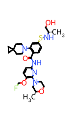 C[C@@H]1CN(c2nc(NC(=O)c3ccc(SN[C@@H](C)CO)cc3N3CCC4(CC3)CC4)ccc2OCF)CCO1